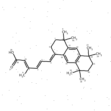 CC(C=CC=C1CCC(C)(C)c2cc3c(cc21)C(C)(C)CCC3(C)C)=CC(=O)O